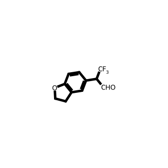 O=CC(c1ccc2c(c1)CCO2)C(F)(F)F